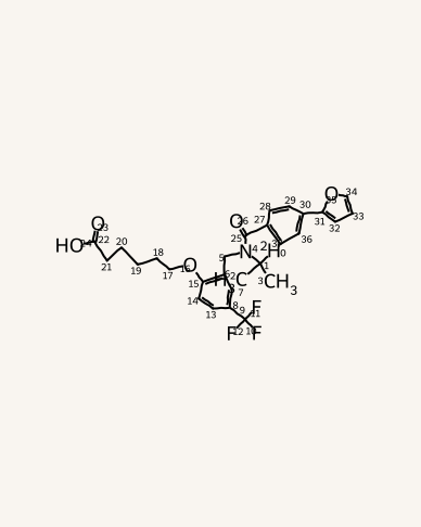 [2H]C(C)(C)N(Cc1cc(C(F)(F)F)ccc1OCCCCCC(=O)O)C(=O)c1ccc(-c2ccco2)cc1